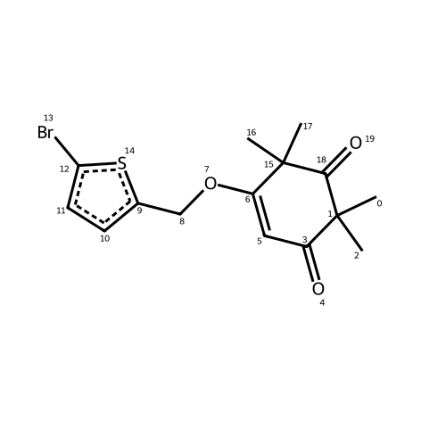 CC1(C)C(=O)C=C(OCc2ccc(Br)s2)C(C)(C)C1=O